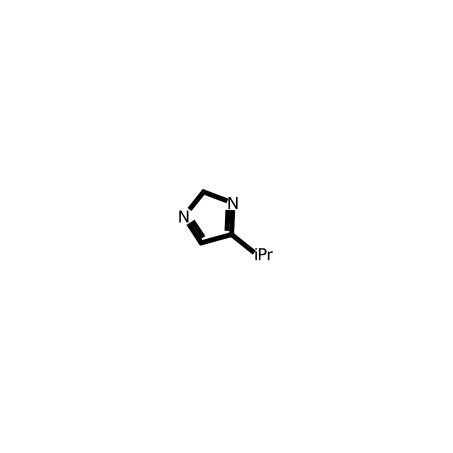 CC(C)C1=NCN=C1